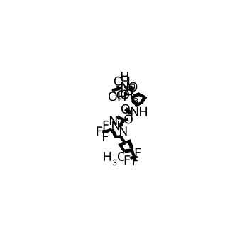 Cc1cc(-c2cc(C(F)(F)F)n3ncc(OC(=O)Nc4cccc(S(=O)(=O)NC(C)(C)CO)c4)c3n2)ccc1C(F)(F)F